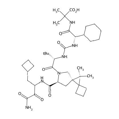 CC(C)(NC(=O)[C@@H](NC(=O)N[C@H](C(=O)N1C[C@]2(C[C@H]1C(=O)NC(CC1CCC1)C(=O)C(N)=O)C(C)(C)C21CCC1)C(C)(C)C)C1CCCCC1)C(=O)O